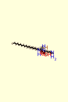 CCCCCCCCCCCCCCCCCCN[C@H](CS)C(=O)N[C@H](CCCCN)C(=O)O